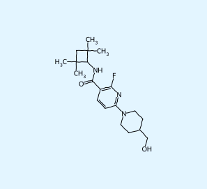 CC1(C)CC(C)(C)C1NC(=O)c1ccc(N2CCC(CO)CC2)nc1F